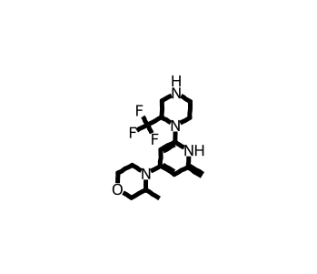 C=C1C=C(N2CCOCC2C)C=C(N2CCNCC2C(F)(F)F)N1